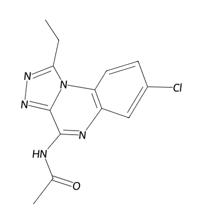 CCc1nnc2c(NC(C)=O)nc3cc(Cl)ccc3n12